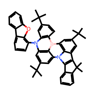 CC(C)(C)c1ccc2c(c1)N(c1cccc3c1oc1ccccc13)c1cc(C(C)(C)C)cc3c1B2c1cc(C(C)(C)C)cc2c4c(n-3c12)-c1ccccc1C4(C)C